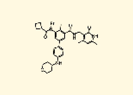 CCN(C(=O)C1CCC1)c1cc(-c2ccc(NC3CCOCC3)cc2)cc(C(=O)NCc2c(C)cc(C)[nH]c2=O)c1C